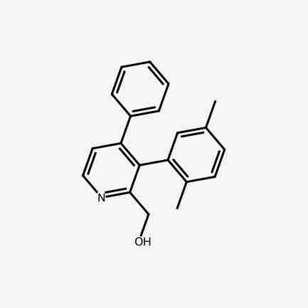 Cc1ccc(C)c(-c2c(-c3ccccc3)ccnc2CO)c1